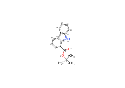 CC(C)(C)OC(=O)c1cccc2c1[nH]c1ccccc12